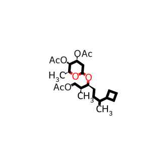 CC(=O)OC[C@@H](C)[C@H](CCC(C)C1CCC1)OC1C[C@@H](OC(C)=O)[C@H](OC(C)=O)[C@@H](C)O1